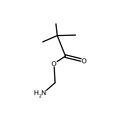 CC(C)(C)C(=O)OCN